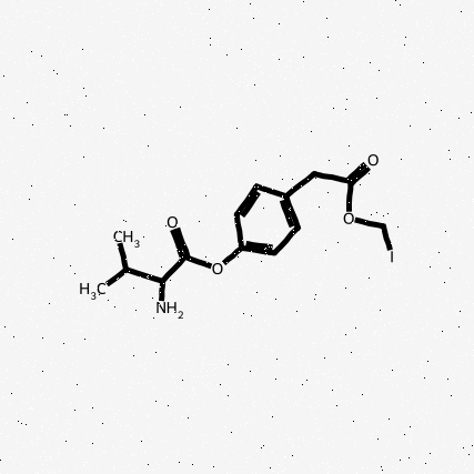 CC(C)C(N)C(=O)Oc1ccc(CC(=O)OCI)cc1